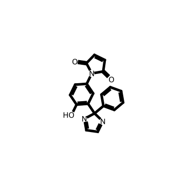 O=C1C=CC(=O)N1c1ccc(O)c(C2(c3ccccc3)N=CC=N2)c1